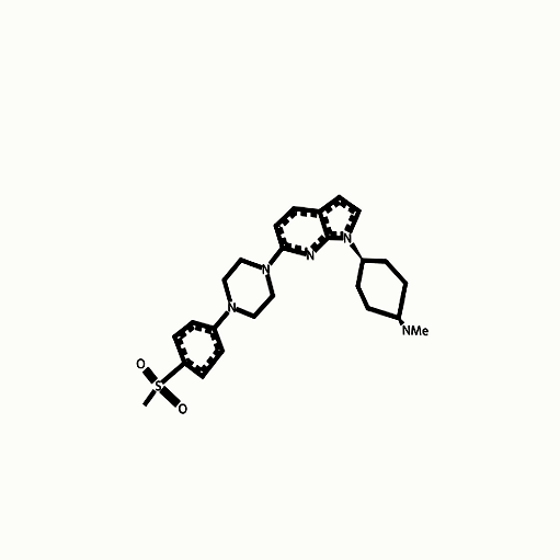 CN[C@H]1CC[C@@H](n2ccc3ccc(N4CCN(c5ccc(S(C)(=O)=O)cc5)CC4)nc32)CC1